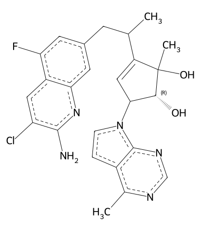 Cc1ncnc2c1ccn2C1C=C(C(C)Cc2cc(F)c3cc(Cl)c(N)nc3c2)C(C)(O)[C@@H]1O